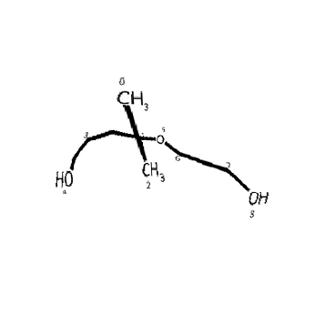 CC(C)(CO)OCCO